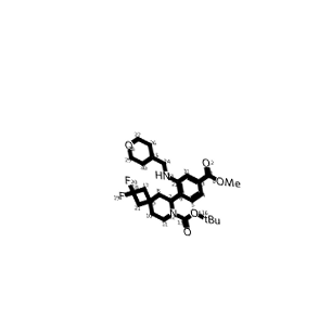 COC(=O)c1ccc(C2CC3(CCN2C(=O)OC(C)(C)C)CC(F)(F)C3)c(NCC2CCOCC2)c1